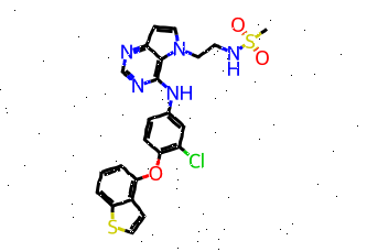 CS(=O)(=O)NCCn1ccc2ncnc(Nc3ccc(Oc4cccc5sccc45)c(Cl)c3)c21